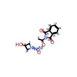 CC(On1on1N1CC(O)C1)N1C(=O)c2ccccc2C1=O